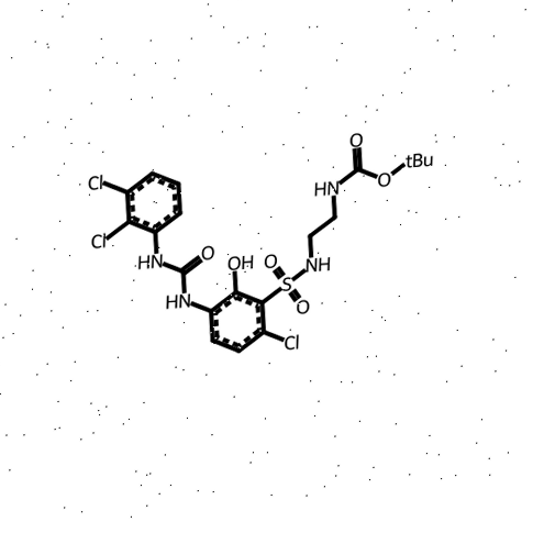 CC(C)(C)OC(=O)NCCNS(=O)(=O)c1c(Cl)ccc(NC(=O)Nc2cccc(Cl)c2Cl)c1O